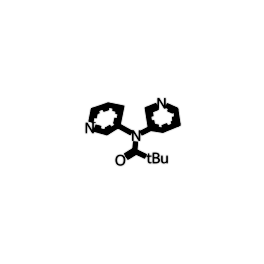 CC(C)(C)C(=O)N(c1cccnc1)c1cccnc1